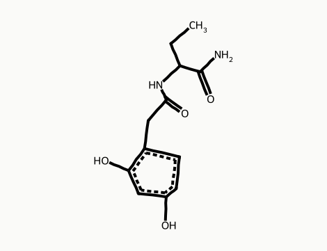 CCC(NC(=O)Cc1ccc(O)cc1O)C(N)=O